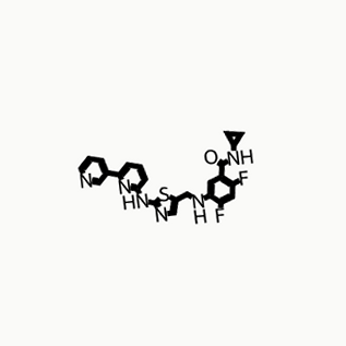 O=C(NC1CC1)c1cc(NCc2cnc(Nc3cccc(-c4cccnc4)n3)s2)c(F)cc1F